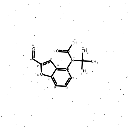 CC(C)(C)N(C(=O)O)c1cccc2oc(C=O)cc12